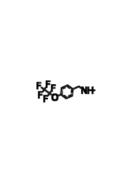 [NH]Cc1ccc(OC(F)(F)C(F)(F)F)cc1